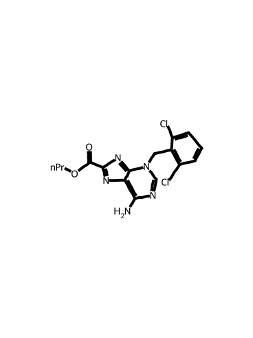 CCCOC(=O)c1nc2c(N)ncn(Cc3c(Cl)cccc3Cl)c-2n1